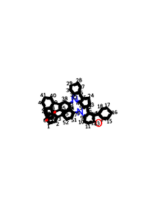 c1ccc(-c2ccc(-n3c4ccc5oc6ccccc6c5c4c4ccc5c6ccccc6n(-c6ccc7c(c6)-c6cccc8cccc-7c68)c5c43)cc2)cc1